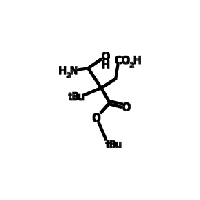 CC(C)(C)OC(=O)C(CC(=O)O)(C(N)O)C(C)(C)C